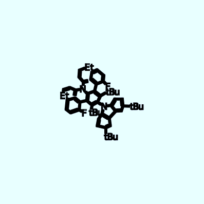 C=C(/C=C\CC)N(C(=C)/C=C\CC)c1c(-c2ccccc2F)c(C(C)(C)C)c(-n2c3ccc(C(C)(C)C)cc3c3cc(C(C)(C)C)ccc32)c(C(C)(C)C)c1-c1ccccc1F